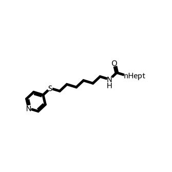 CCCCCCCC(=O)NCCCCCCSc1ccncc1